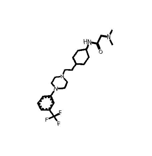 CN(C)CC(=O)NC1CCC(CCN2CCN(c3cccc(C(F)(F)F)c3)CC2)CC1